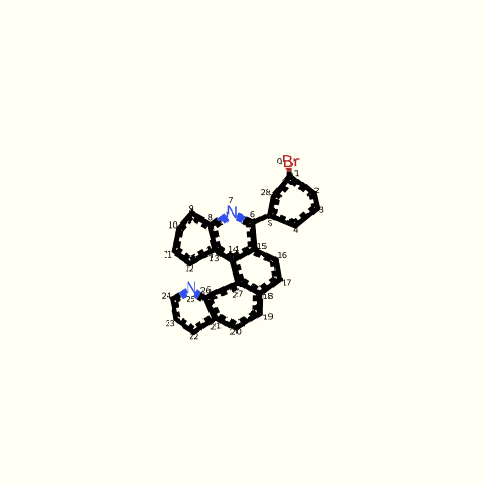 Brc1cccc(-c2nc3ccccc3c3c2ccc2ccc4cccnc4c23)c1